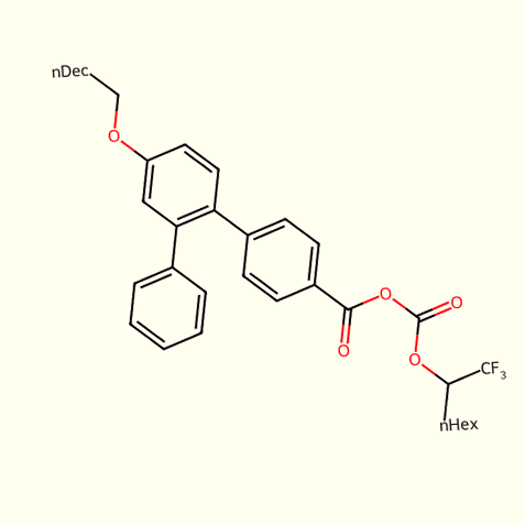 CCCCCCCCCCCOc1ccc(-c2ccc(C(=O)OC(=O)OC(CCCCCC)C(F)(F)F)cc2)c(-c2ccccc2)c1